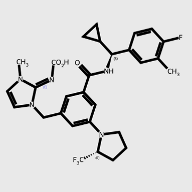 Cc1cc([C@@H](NC(=O)c2cc(Cn3ccn(C)/c3=N\C(=O)O)cc(N3CCC[C@@H]3C(F)(F)F)c2)C2CC2)ccc1F